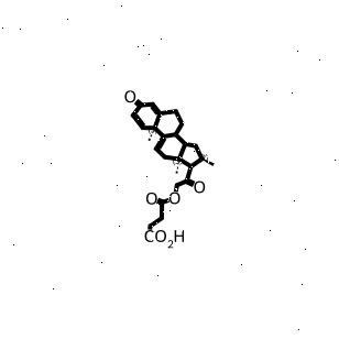 C[C@@H]1CC2C3CCC4=CC(=O)C=C[C@]4(C)C3=CC[C@]2(C)C1C(=O)COC(=O)CCC(=O)O